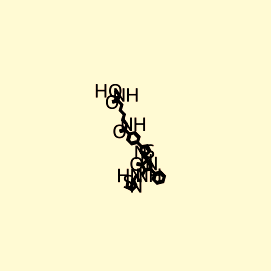 O=C(CCCCNC(=O)c1ccc(-c2csc(N3N=C(c4ccccc4)C(NNc4nccs4)C3=O)n2)cc1)NO